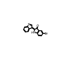 O=C1C(=C2C=Nc3ccccc32)Nc2ccc(Br)cc21